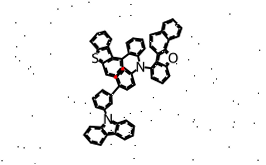 c1cc(-c2ccc(N(c3ccccc3-c3cccc4sc5ccccc5c34)c3cccc4oc5c6ccccc6ccc5c34)cc2)cc(-n2c3ccccc3c3ccccc32)c1